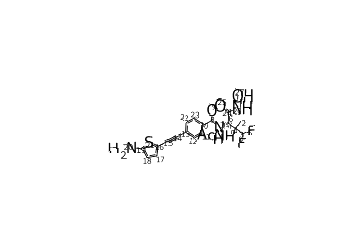 CC(=O)NC(C)(C(F)F)[C@H](NC(=O)c1ccc(C#Cc2ccc(N)s2)cc1)C(=O)NO